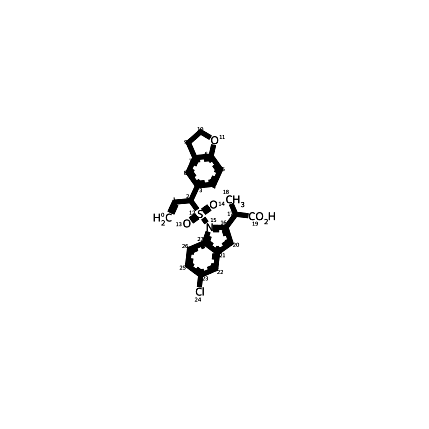 C=CC(c1ccc2c(c1)CCO2)S(=O)(=O)n1c(C(C)C(=O)O)cc2cc(Cl)ccc21